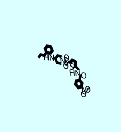 CCCc1ccccc1NC1CCN(S(=O)(=O)c2ccc(CNC(=O)c3cccc([N+](=O)[O-])c3)s2)CC1